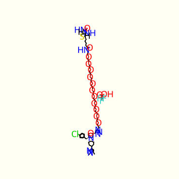 Cc1cc(C2CCC(N3C[C@H](c4cn(CCOCCOCCOCCOCCOCCOCCOCCOCCOCCOCCOCCNC(=O)CCCC[C@@H]5SC[C@@H]6NC(=O)N[C@@H]65)nn4)OC[C@@H]3Cc3ccc(Cl)cc3)CC2)nn1C.O=C(O)C(F)(F)F